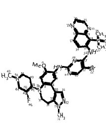 COc1cc2c(cc1Nc1ncc(Br)c(Nc3ccc4nccnc4c3P(C)(C)=O)n1)-c1cnn(C)c1CCN2[C@@H]1CCN(C)C[C@@H]1F